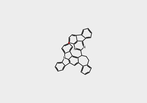 c1ccc2c(c1)CCC(c1nc3c4c(cccc4n1)-c1ccccc1-3)c1c-2cc2c3ccccc3n3c4ccccc4c1c23